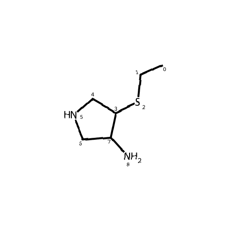 CCSC1CNCC1N